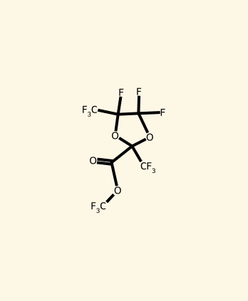 O=C(OC(F)(F)F)C1(C(F)(F)F)OC(F)(F)C(F)(C(F)(F)F)O1